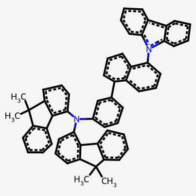 CC1(C)c2ccccc2-c2c(N(c3cccc(-c4cccc5c(-n6c7ccccc7c7ccccc76)cccc45)c3)c3cccc4c3-c3ccccc3C4(C)C)cccc21